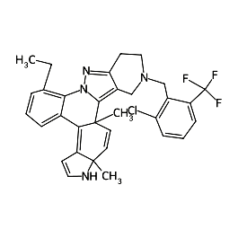 CCc1cccc2c1-n1nc3c(c1C1(C)C=CC4(C)NC=CC4=C21)CN(Cc1c(Cl)cccc1C(F)(F)F)CC3